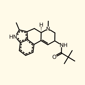 Cc1[nH]c2cccc3c2c1C[C@@H]1C3=CC(NC(=O)C(C)(C)C)CN1C